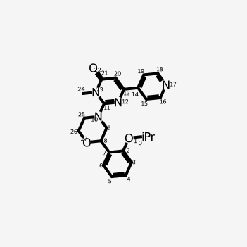 CC(C)Oc1ccccc1C1CN(c2nc(-c3ccncc3)cc(=O)n2C)CCO1